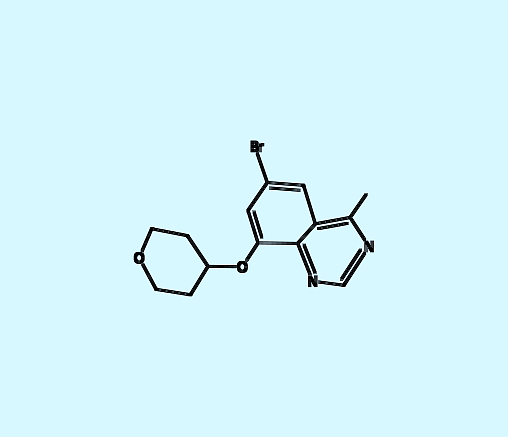 Cc1ncnc2c(OC3CCOCC3)cc(Br)cc12